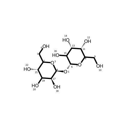 OCC1O[C@@H](O[C@H]2OC(CO)[C@@H](O)[C@@H](O)C2O)[C@@H](O)C(O)[C@@H]1O